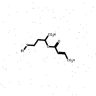 CCSCCC(OC(=O)C=CC(=O)O)C(=O)O